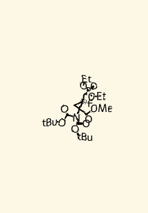 CCOP(=O)(C[C@]1(F)CC1(C(=O)OC)N(C(=O)OC(C)(C)C)C(=O)OC(C)(C)C)OCC